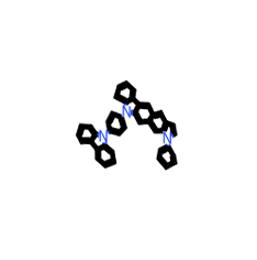 c1ccc(-n2ccc3cc4cc5c6ccccc6n(-c6ccc(-n7c8ccccc8c8ccccc87)cc6)c5cc4cc32)cc1